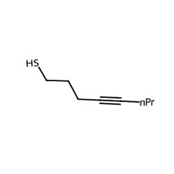 CCCC#CCCCS